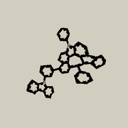 c1ccc(-c2c3c4ccccc4c4ccc5c(c4-3)c3c4c(ccc3n5-c3ccccc3)c(-c3cccc(-n5c6ccccc6c6ccccc65)c3)ccc24)cc1